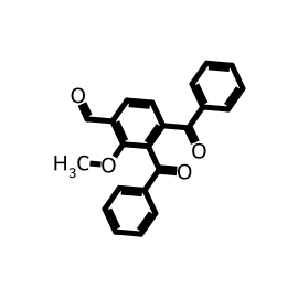 COc1c(C=O)ccc(C(=O)c2ccccc2)c1C(=O)c1ccccc1